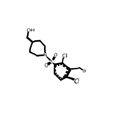 O=S(=O)(c1ccc(Cl)c(CBr)c1Cl)N1CCC(CO)CC1